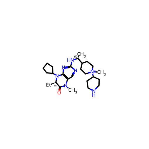 CC[C@@H]1C(=O)N(C)c2cnc(N[C@@H](C)C3CC[N+](C)(C4CCNCC4)CC3)nc2N1C1CCCC1